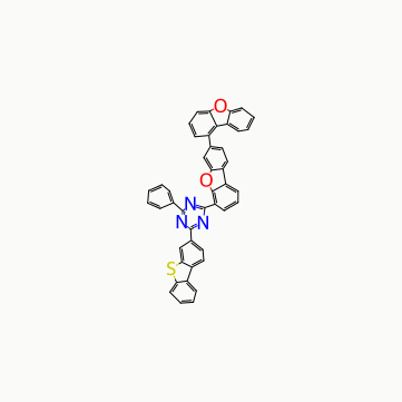 c1ccc(-c2nc(-c3ccc4c(c3)sc3ccccc34)nc(-c3cccc4c3oc3cc(-c5cccc6oc7ccccc7c56)ccc34)n2)cc1